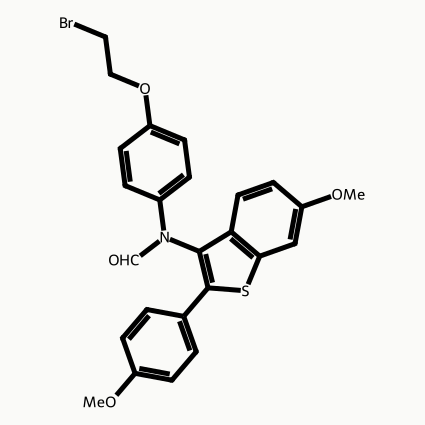 COc1ccc(-c2sc3cc(OC)ccc3c2N(C=O)c2ccc(OCCBr)cc2)cc1